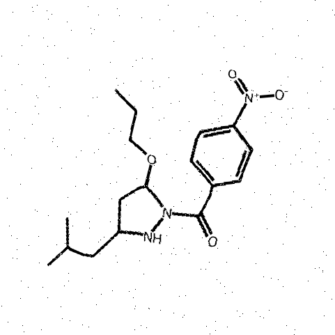 CCCOC1CC(CC(C)C)NN1C(=O)c1ccc([N+](=O)[O-])cc1